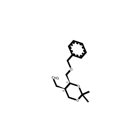 CC1(C)OC[C@@H](CC=O)[C@@H](COCc2ccccc2)O1